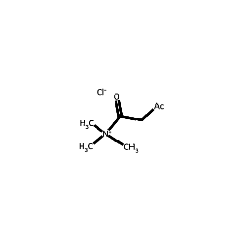 CC(=O)CC(=O)[N+](C)(C)C.[Cl-]